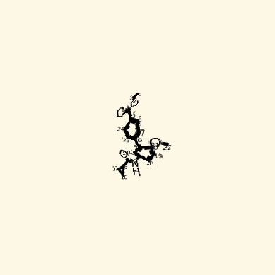 CCOC(=O)c1ccc(-c2cc(NC(=O)C3CC3)ccc2OC)cc1